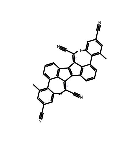 C/C(C#N)=C1C2=C(/C(=C(/C)C#N)c3c2cccc3-c2c(C)cc(C#N)cc2F)c2cccc(-c3c(C)cc(C#N)cc3F)c2/1